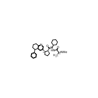 CN[C@@H](C)C(=O)N[C@H](C(=O)N1CCC[C@H]1c1cnc2c(c1)C(c1ccccc1)CCC2)C1CCCCC1